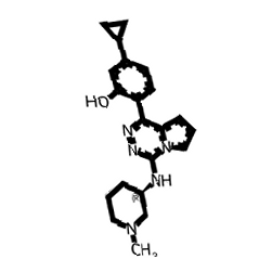 CN1CCC[C@@H](Nc2nnc(-c3ccc(C4CC4)cc3O)c3cccn23)C1